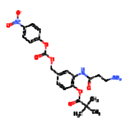 CC(C)(C)C(=O)Oc1ccc(COC(=O)Oc2ccc([N+](=O)[O-])cc2)cc1NC(=O)CCN